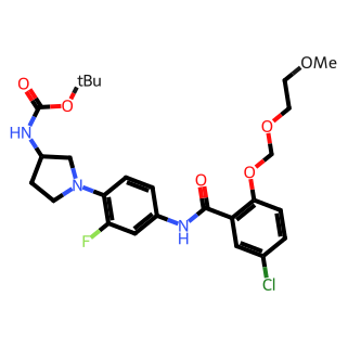 COCCOCOc1ccc(Cl)cc1C(=O)Nc1ccc(N2CCC(NC(=O)OC(C)(C)C)C2)c(F)c1